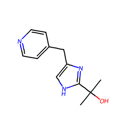 CC(C)(O)c1nc(Cc2ccncc2)c[nH]1